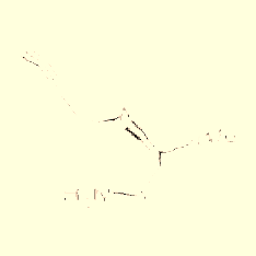 C#CC/N=C(/NC)NN